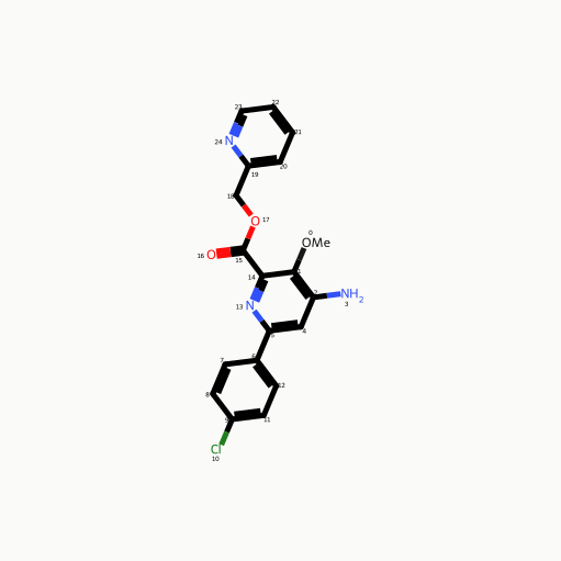 COc1c(N)cc(-c2ccc(Cl)cc2)nc1C(=O)OCc1ccccn1